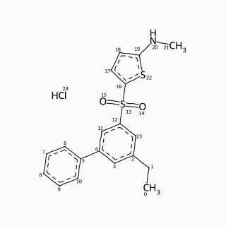 CCc1cc(-c2ccccc2)cc(S(=O)(=O)c2ccc(NC)s2)c1.Cl